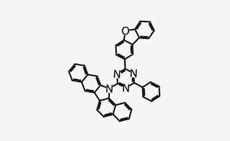 c1ccc(-c2nc(-c3ccc4oc5ccccc5c4c3)nc(-n3c4cc5ccccc5cc4c4ccc5ccccc5c43)n2)cc1